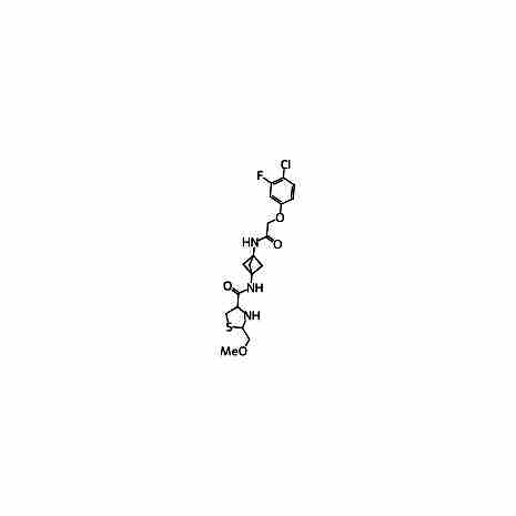 COCC1NC(C(=O)NC23CC(NC(=O)COc4ccc(Cl)c(F)c4)(C2)C3)CS1